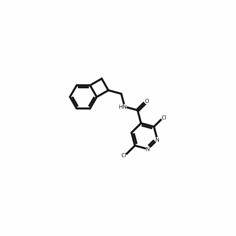 O=C(NCC1Cc2ccccc21)c1cc(Cl)nnc1Cl